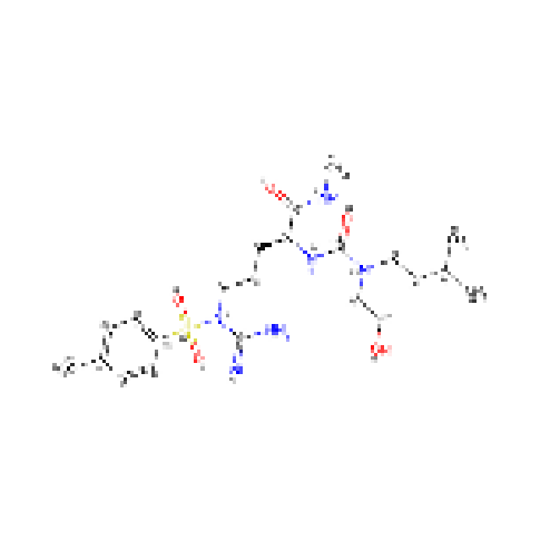 CNC(=O)[C@H](CCCN(C(=N)N)S(=O)(=O)c1ccc(C)cc1)NC(=O)N(CCO)CCC(C)C